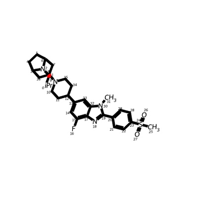 CC(C)CN1C2CCC1CC(N1CCC(c3cc(F)c4nc(-c5ccc(S(C)(=O)=O)cc5)n(C)c4c3)CC1)C2